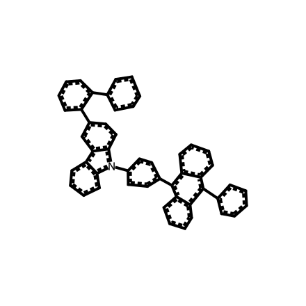 c1ccc(-c2ccccc2-c2ccc3c(c2)c2ccccc2n3-c2ccc(-c3c4ccccc4c(-c4ccccc4)c4ccccc34)cc2)cc1